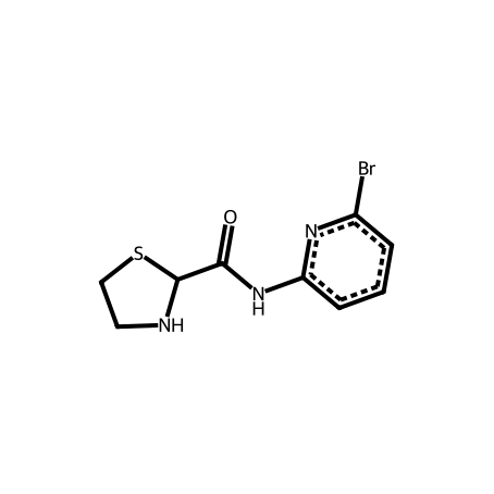 O=C(Nc1cccc(Br)n1)C1NCCS1